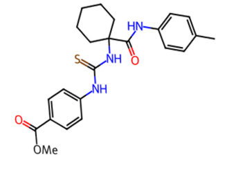 COC(=O)c1ccc(NC(=S)NC2(C(=O)Nc3ccc(C)cc3)CCCCC2)cc1